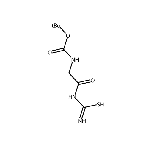 CC(C)(C)OC(=O)NCC(=O)NC(=N)S